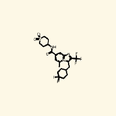 Cc1cc(C(=O)NC2CCS(=O)(=O)CC2)cc2nc(C(F)(F)F)c(CC3CCC(F)(F)CC3)n12